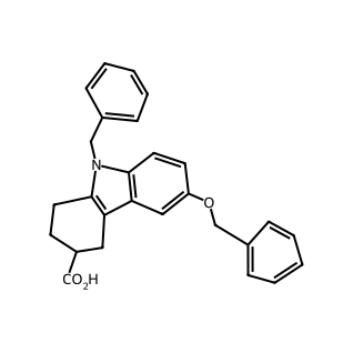 O=C(O)C1CCc2c(c3cc(OCc4ccccc4)ccc3n2Cc2ccccc2)C1